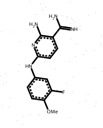 COc1ccc(Nc2ccc(C(=N)N)c(N)n2)cc1F